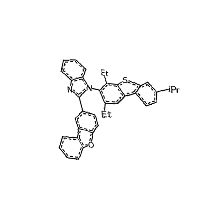 CCc1cc2c(sc3cc(C(C)C)ccc32)c(CC)c1-n1c(-c2ccc3oc4ccccc4c3c2)nc2ccccc21